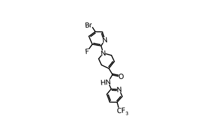 O=C(Nc1ccc(C(F)(F)F)cn1)C1=CCN(c2ncc(Br)cc2F)CC1